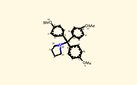 COc1ccc(C(c2ccc(OC)cc2)(c2ccc(OC)cc2)N2CCCC2)cc1